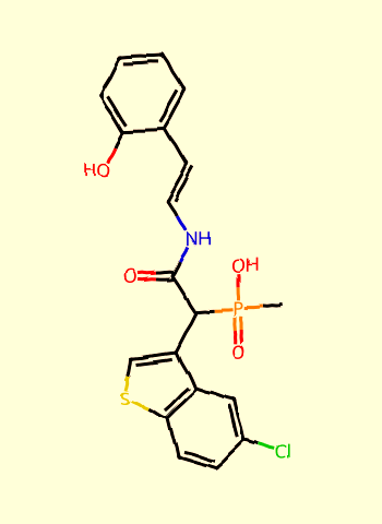 CP(=O)(O)C(C(=O)N/C=C/c1ccccc1O)c1csc2ccc(Cl)cc12